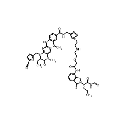 CCCC(C(=O)NC=O)N1Cc2c(NC(=O)COCCNCCn3cc(CNC(=O)c4ccc(Nc5ncc6c(n5)N(Cc5ccc(C#N)s5)C(CC)C(=O)N6C)c(OC)c4)nn3)cccc2C1=O